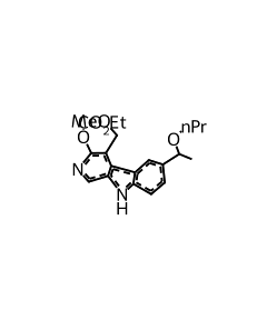 CCCOC(C)c1ccc2[nH]c3cnc(OC(=O)OCC)c(COC)c3c2c1